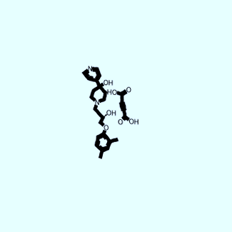 Cc1ccc(OC[C@@H](O)CN2CCC(O)(c3ccncc3)CC2)c(C)c1.O=C(O)C#CC(=O)O